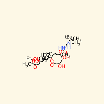 CCC(O)C(C)C1OC1CC(C)(O)/C=C/C=C(\C)C1OC(=O)CC(O)CCC(C)(O)C(OC(=O)NCCNCC(C)(C)C(C)(C)C)/C=C/C1C